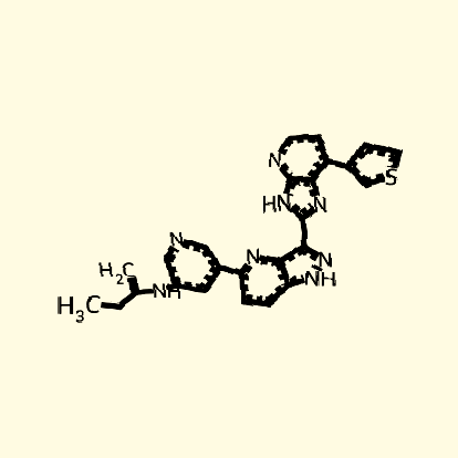 C=C(CC)Nc1cncc(-c2ccc3[nH]nc(-c4nc5c(-c6ccsc6)ccnc5[nH]4)c3n2)c1